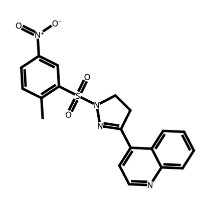 Cc1ccc([N+](=O)[O-])cc1S(=O)(=O)N1CCC(c2ccnc3ccccc23)=N1